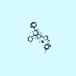 CC(C)(C)[C@H](NC(=O)[C@@H](NC(=O)c1cnccn1)C1CCCCC1)C(=O)N1CC[C@@H](Oc2ccc(I)cn2)C1